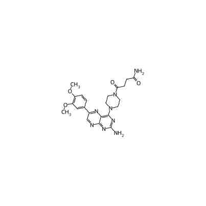 COc1ccc(-c2cnc3nc(N)nc(N4CCN(C(=O)CCC(N)=O)CC4)c3n2)cc1OC